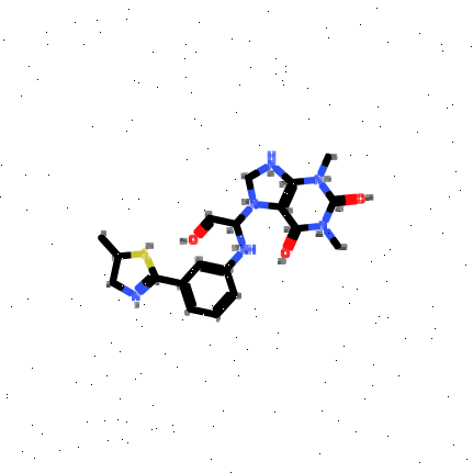 CC1CN=C(c2cccc(NC(C=O)N3CNc4c3c(=O)n(C)c(=O)n4C)c2)S1